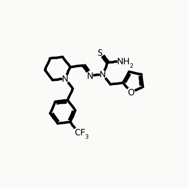 NC(=S)N(Cc1ccco1)N=CC1CCCCN1Cc1cccc(C(F)(F)F)c1